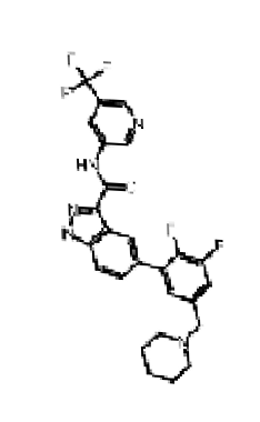 O=C(Nc1cncc(C(F)(F)F)c1)c1n[nH]c2ccc(-c3cc(CN4CCCCC4)cc(F)c3F)cc12